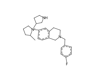 CC1CCC[N+]1(c1ccc2c(c1)CCN(Cc1ccc(F)cc1)C2)C1CCNC1